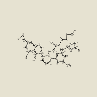 COCCOCC(=O)OCc1c(-c2nc(N)nc(Nc3cnn(C)c3)n2)cccc1-n1ccc2cc(C3CC3)cc(F)c2c1=O